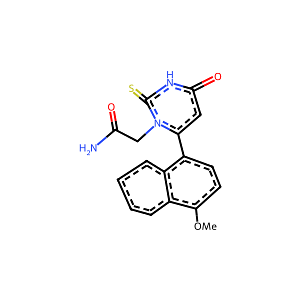 COc1ccc(-c2cc(=O)[nH]c(=S)n2CC(N)=O)c2ccccc12